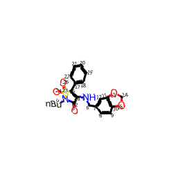 CCCCN1C(=O)C(NCc2ccc3c(c2)OCO3)=C(c2ccccc2)S1(=O)=O